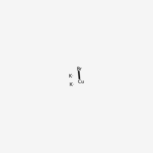 [Cu][Br].[K].[K]